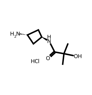 CC(C)(O)C(=O)N[C@H]1C[C@H](N)C1.Cl